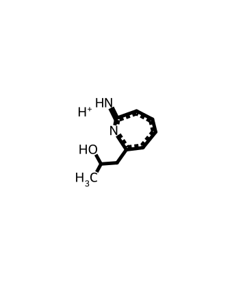 CC(O)Cc1ccccc(=N)n1.[H+]